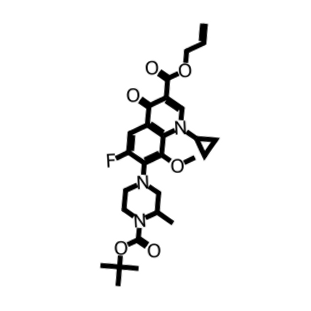 C=CCOC(=O)c1cn(C2CC2)c2c(OC)c(N3CCN(C(=O)OC(C)(C)C)C(C)C3)c(F)cc2c1=O